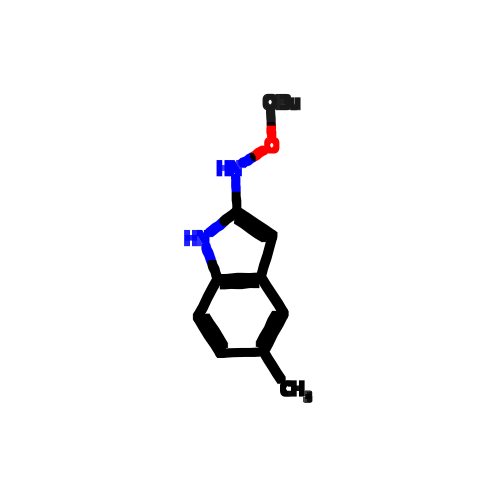 Cc1ccc2[nH]c(NOOCC(C)C)cc2c1